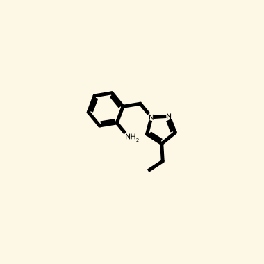 CCc1cnn(Cc2ccccc2N)c1